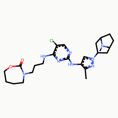 Cc1nn(C2CC3CCC(C2)N3C)cc1Nc1ncc(Cl)c(NCCCN2CCCCOC2=O)n1